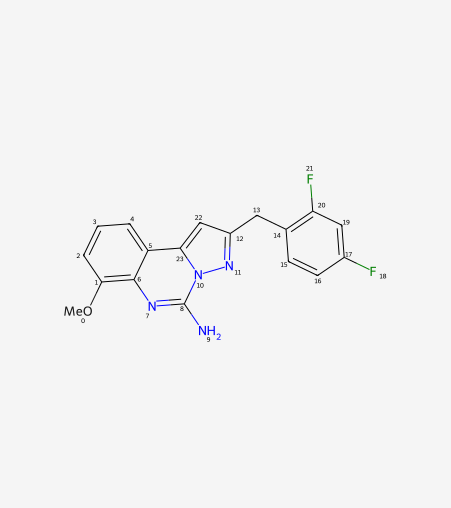 COc1cccc2c1nc(N)n1nc(Cc3ccc(F)cc3F)cc21